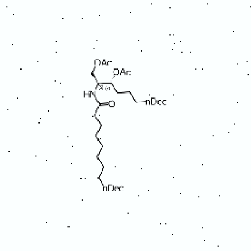 CCCCCCCCCCCCCCCCCC(=O)N[C@@H](COC(C)=O)[C@@H](CCCCCCCCCCCCC)OC(C)=O